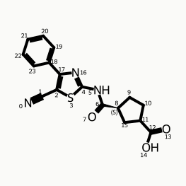 N#Cc1sc(NC(=O)[C@H]2CCC(C(=O)O)C2)nc1-c1ccccc1